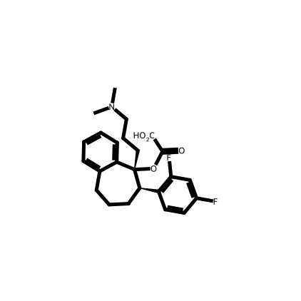 CN(C)CCC[C@]1(OC(=O)C(=O)O)c2ccccc2CCC[C@@H]1c1ccc(F)cc1F